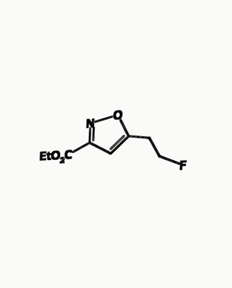 CCOC(=O)c1cc(CCF)on1